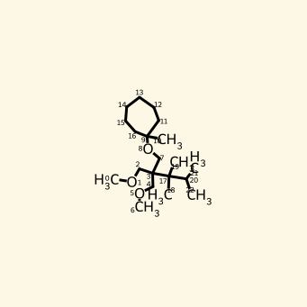 COCC(COC)(COC1(C)CCCCCC1)C(C)(C)C(C)C